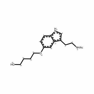 CC(=O)NCCc1c[nH]c2ccc(OCCCCO)cc12